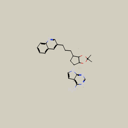 CC1(C)O[C@@H]2[C@H](O1)C(CCCc1cnc3ccccc3c1)C[C@H]2n1ccc2c(N)ncnc21